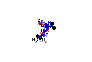 CCNC(=O)[C@@H]1CC[C@H](n2cnc3c(NCC(c4ccccc4)c4ccccc4)nc(C(=O)NCCNC(=O)NCCN(C(C)C)C4CCCC4)nc32)O1